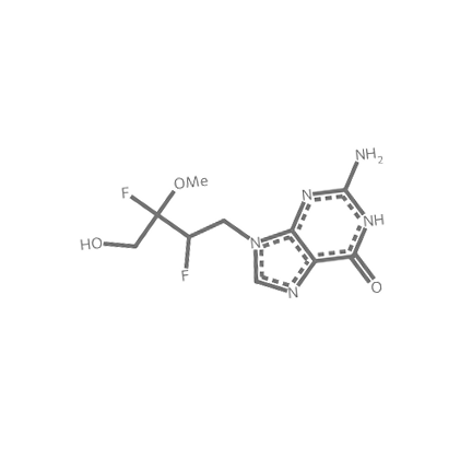 COC(F)(CO)C(F)Cn1cnc2c(=O)[nH]c(N)nc21